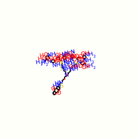 NCC1O[C@@H](O[C@@H]2C(N)C[C@@H](N)C(O)[C@H]2OC2O[C@H](CSCCNC(=O)NCCCCN(CCCCCNC(=S)Nc3ccc4c(c3)C(=O)c3ccccc3C4=O)CCCNC(=S)NCCSC[C@H]3OC(O[C@@H]4C(O)[C@H](N)CC(N)[C@H]4O[C@@H]4OC(CN)[C@@H](O)[C@H](O)C4N)[C@@H](O)[C@H]3O[C@H]3O[C@@H](CN)[C@@H](O)C(O)C3N)[C@H](O[C@H]3O[C@@H](CN)[C@@H](O)C(O)C3N)[C@@H]2O)C(N)[C@@H](O)[C@@H]1O